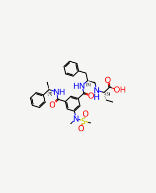 CC[C@H](NC[C@H](Cc1ccccc1)NC(=O)c1cc(C(=O)N[C@H](C)c2ccccc2)cc(N(C)S(C)(=O)=O)c1)C(=O)O